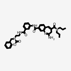 CCCN(CCC)C(=O)C1=Cc2ccc(C(=O)Nc3cccc(C(=O)NCCN(Cc4ccccc4)C(=O)O)c3)cc2N=C(N)C1